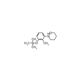 Cc1c(O[Si](C)(C)C)cccc1[SiH]1CCCCO1